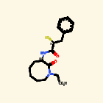 O=C(O)CN1CCCCC[C@H](NC(=O)[C@@H](S)Cc2ccccc2)C1=O